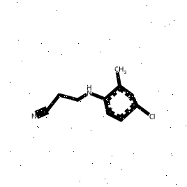 Cc1cc(Cl)ccc1NCCC#N